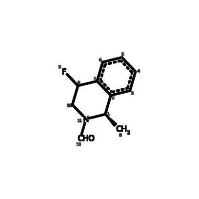 C[C@@H]1c2ccccc2C(F)CN1C=O